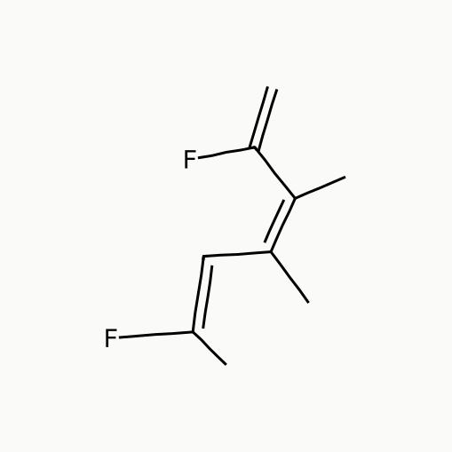 C=C(F)/C(C)=C(C)\C=C(/C)F